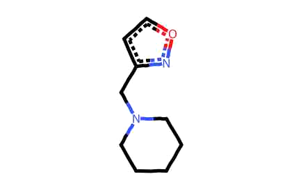 c1cc(CN2CCCCC2)no1